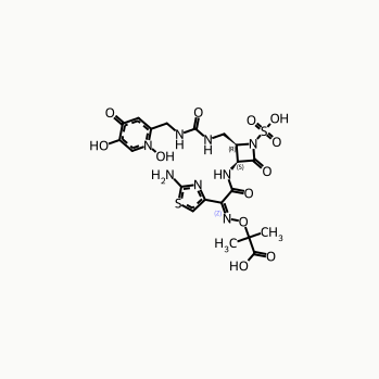 CC(C)(O/N=C(\C(=O)N[C@@H]1C(=O)N(S(=O)(=O)O)[C@@H]1CNC(=O)NCc1cc(=O)c(O)cn1O)c1csc(N)n1)C(=O)O